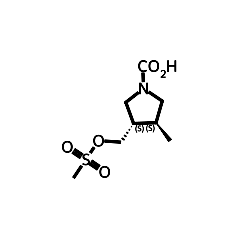 C[C@@H]1CN(C(=O)O)C[C@H]1COS(C)(=O)=O